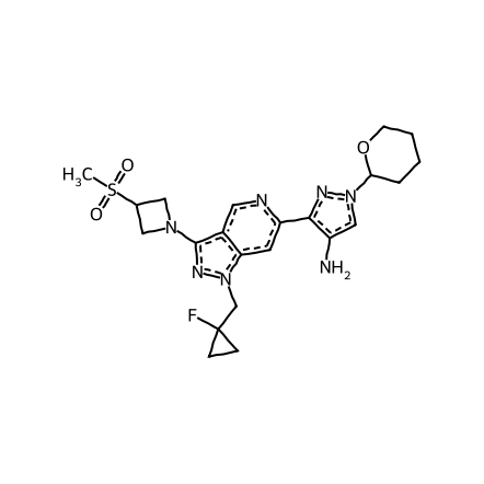 CS(=O)(=O)C1CN(c2nn(CC3(F)CC3)c3cc(-c4nn(C5CCCCO5)cc4N)ncc23)C1